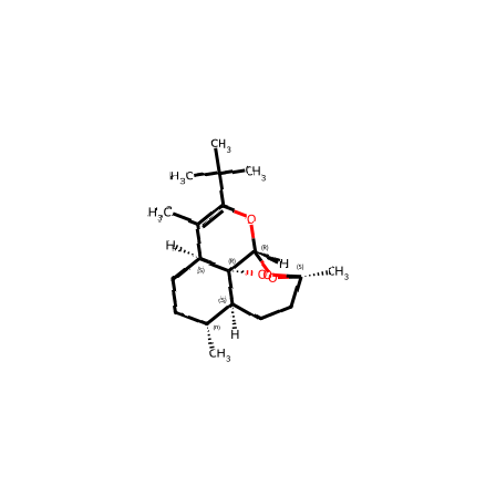 CC1=C(C(C)(C)C)O[C@@H]2O[C@]3(C)CC[C@H]4[C@H](C)CC[C@@H]1[C@@]24OO3